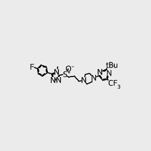 Cn1c(-c2ccc(F)cc2)nnc1[S+]([O-])CCCN1CCN(c2cc(C(F)(F)F)nc(C(C)(C)C)n2)CC1